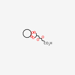 O=C(O)CCC(=O)C(=O)CC1COOC2(CCCCCCCCCCC2)OOC1